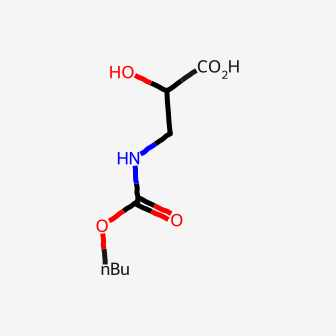 CCCCOC(=O)NCC(O)C(=O)O